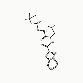 CC(C)CC(NC(=O)c1cc2ccccc2[nH]1)C(=O)NNC(=O)OC(C)(C)C